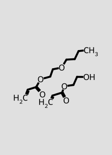 C=CC(=O)OCCO.C=CC(=O)OCCOCCCC